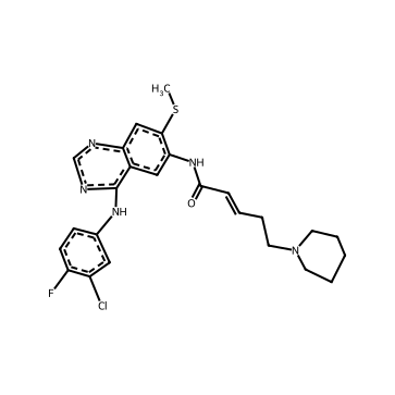 CSc1cc2ncnc(Nc3ccc(F)c(Cl)c3)c2cc1NC(=O)C=CCCN1CCCCC1